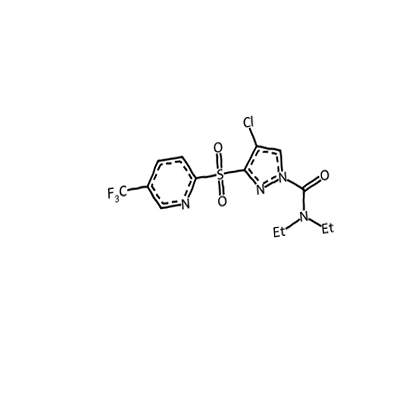 CCN(CC)C(=O)n1cc(Cl)c(S(=O)(=O)c2ccc(C(F)(F)F)cn2)n1